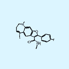 CNC(=O)c1c(-c2ccc(F)cc2)oc2cc3c(cc12)C(C)=CCCN3C